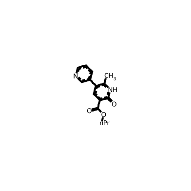 CCCOC(=O)c1cc(-c2cccnc2)c(C)[nH]c1=O